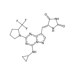 O=C1NC(=O)/C(=C/c2cnn3c(NC4CC4)nc(N4CCCC4C(F)(F)F)nc23)N1